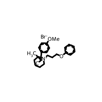 COc1ccc(C2(C)CC3CC[N+]2(CCCOc2ccccc2)CC3)cc1.[Br-]